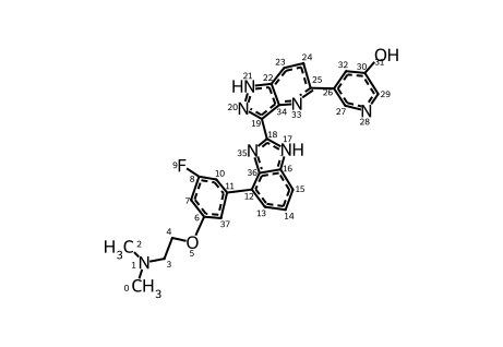 CN(C)CCOc1cc(F)cc(-c2cccc3[nH]c(-c4n[nH]c5ccc(-c6cncc(O)c6)nc45)nc23)c1